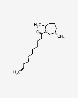 C=CCCCCCCCCC(=O)N1CC(C)CCCC1C